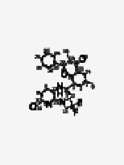 Cc1cc([C@@H](C)Nc2ccc(Cl)nc2N2CC(F)(F)C2)c2oc(-c3ccccc3)c(C)c(=O)c2c1